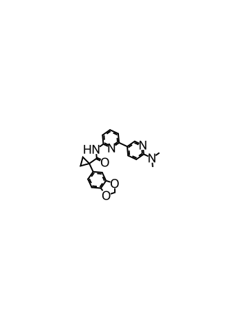 CN(C)c1ccc(-c2cccc(NC(=O)C3(c4ccc5c(c4)OCO5)CC3)n2)cn1